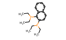 CCP(CC)c1ccc2ccccc2c1P(CC)CC